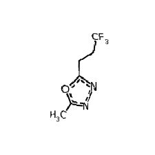 Cc1nnc(CCC(F)(F)F)o1